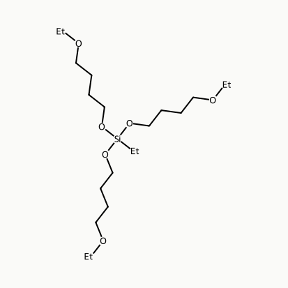 CCOCCCCO[Si](CC)(OCCCCOCC)OCCCCOCC